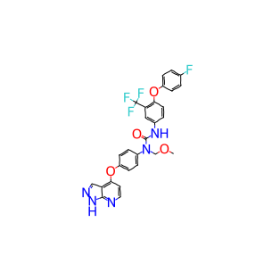 COCN(C(=O)Nc1ccc(Oc2ccc(F)cc2)c(C(F)(F)F)c1)c1ccc(Oc2ccnc3[nH]ncc23)cc1